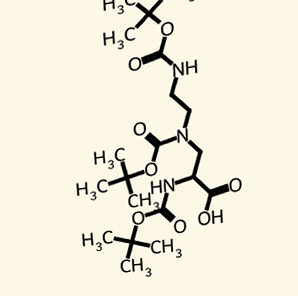 CC(C)(C)OC(=O)NCCN(CC(NC(=O)OC(C)(C)C)C(=O)O)C(=O)OC(C)(C)C